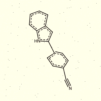 N#Cc1ccc(-c2cc3ccccc3[nH]2)cc1